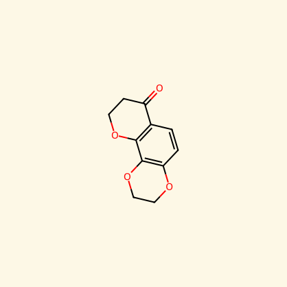 O=C1CCOc2c1ccc1c2OCCO1